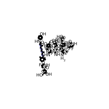 CC1=C(/C=C/C(C)=C/C=C/C(C)=C/C(=O)Nc2ccc(O)cc2)C(C)(C)CCC1.N=c1nc2n(cc1F)[C@@H]1O[C@H](CO)[C@@H](O)[C@@H]1O2.N=c1ncn([C@@H]2O[C@H](CO)[C@@H](O)[C@@H]2O)c(O)n1.Nc1nc(F)nc2c1ncn2[C@@H]1O[C@H](COP(=O)(O)O)[C@@H](O)[C@@H]1O.O=c1[nH]c(=O)n([C@H]2C[C@H](O)[C@@H](CO)O2)cc1F.O=c1[nH]cc(F)c(=O)[nH]1